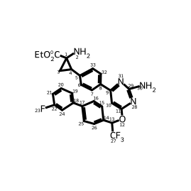 CCOC(=O)C1(N)CC1c1ccc(-c2cc(OC(c3ccc(-c4cccc(F)c4)cc3)C(F)(F)F)nc(N)n2)cc1